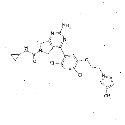 Cc1ccn(CCOc2cc(-c3nc(N)nc4c3CN(C(=O)NC3CC3)C4)c(Cl)cc2Cl)n1